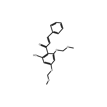 COCOc1cc(O)c(C(=O)/C=C/c2ccccc2)c(OCOC)c1